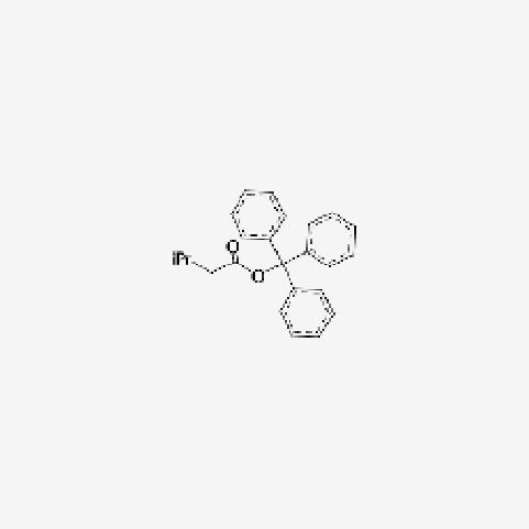 CC(C)CC(=O)OC(c1ccccc1)(c1ccccc1)c1ccccc1